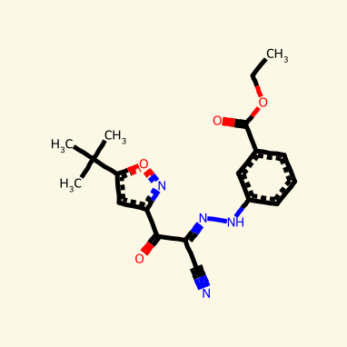 CCOC(=O)c1cccc(N/N=C(\C#N)C(=O)c2cc(C(C)(C)C)on2)c1